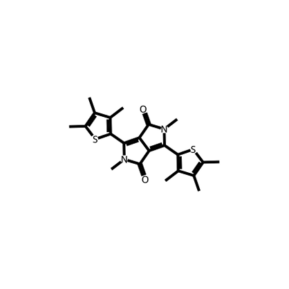 Cc1sc(C2=C3C(=O)N(C)C(c4sc(C)c(C)c4C)=C3C(=O)N2C)c(C)c1C